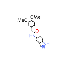 COc1ccc(CC(=O)Nc2ccc3[nH]ncc3c2)cc1OC